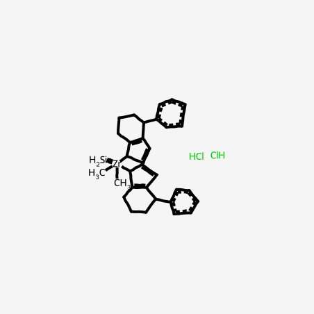 Cl.Cl.[CH3][Zr]([CH3])(=[SiH2])([CH]1C=CC2=C1CCCC2c1ccccc1)[CH]1C=CC2=C1CCCC2c1ccccc1